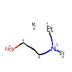 CCN(CC)CCO.[K]